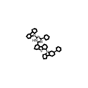 c1ccc(C2=NC(n3c4ccccc4c4ccccc43)NC(c3cccc4sc5c(-n6c7ccccc7c7ccc(-c8ccccc8)cc76)cccc5c34)=N2)cc1